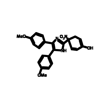 COc1ccc(-c2nc(C3([N+](=O)[O-])C=CC(O)=CC3)[nH]c2-c2ccc(OC)cc2)cc1